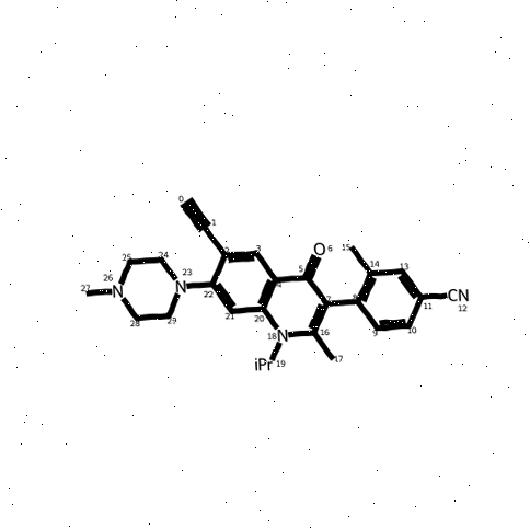 C#Cc1cc2c(=O)c(-c3ccc(C#N)cc3C)c(C)n(C(C)C)c2cc1N1CCN(C)CC1